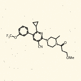 COCCC(=O)N1CCN(c2nc(C3CC3)c(-c3cccc(OC(F)(F)F)c3)cc2C#N)CC1C